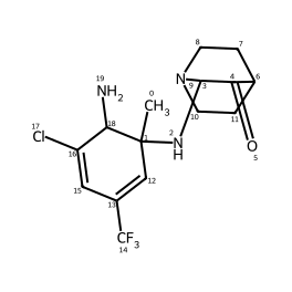 CC1(NC2C(=O)C3CCN2CC3)C=C(C(F)(F)F)C=C(Cl)C1N